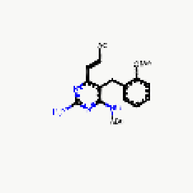 CCCCNc1nc(N)nc(/C=C/C(C)=O)c1Cc1ccccc1OC